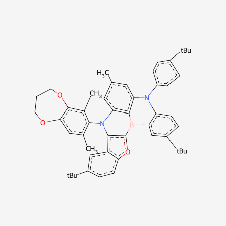 Cc1cc2c3c(c1)N(c1c(C)cc4c(c1C)OCCCO4)c1c(oc4ccc(C(C)(C)C)cc14)B3c1cc(C(C)(C)C)ccc1N2c1ccc(C(C)(C)C)cc1